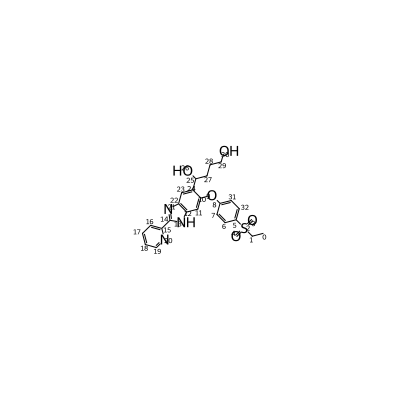 CCS(=O)(=O)c1ccc(Oc2cc3[nH]c(-c4ccccn4)nc3cc2C(O)CCCO)cc1